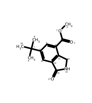 COC(=O)c1cc(C(C)(C)C)cc2c1CNC2=O